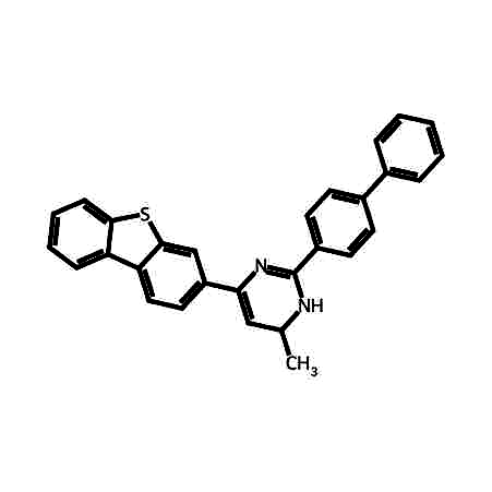 CC1C=C(c2ccc3c(c2)sc2ccccc23)N=C(c2ccc(-c3ccccc3)cc2)N1